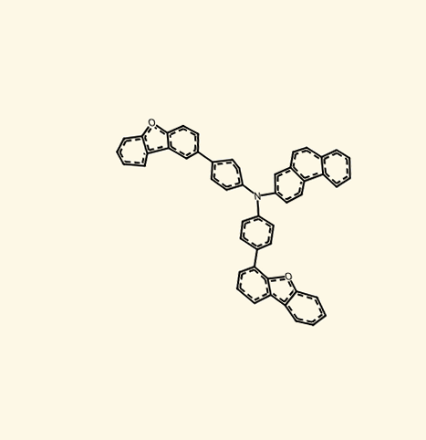 c1ccc2c(c1)ccc1cc(N(c3ccc(-c4ccc5oc6ccccc6c5c4)cc3)c3ccc(-c4cccc5c4oc4ccccc45)cc3)ccc12